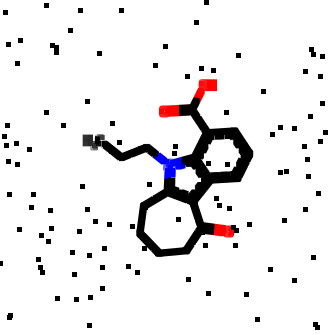 CCCn1c2c(c3cccc(C(=O)O)c31)C(=O)CCCC2